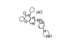 Cl.O=C1N(C2CCCC2)c2nc(Nc3ccc(N4CCNCC4)cn3)ncc2OC12CCCC2